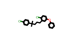 CC(C)(CCCc1cc(Oc2ccccc2)ccc1Cl)c1ccc(Cl)cc1